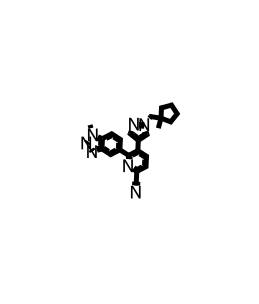 Cn1nnc2cc(-c3nc(C#N)ccc3-c3cnn(CC4(C)CCCC4)c3)ccc21